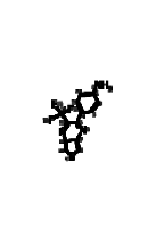 Nc1ccc(-c2nc3cscc3nc2C(F)(F)F)cc1